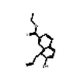 C=CCc1c(O)ccc2ccc(C(=O)OCC)cc12